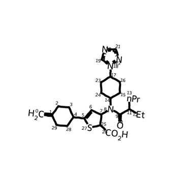 C=C1CCC(C2=CC(N(C(=O)C(CC)CCC)C3CCC(n4cncn4)CC3)C(C(=O)O)S2)CC1